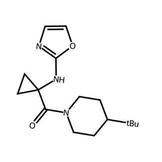 CC(C)(C)C1CCN(C(=O)C2(Nc3ncco3)CC2)CC1